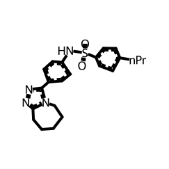 CCCc1ccc(S(=O)(=O)Nc2ccc(-c3nnc4n3CCCCC4)cc2)cc1